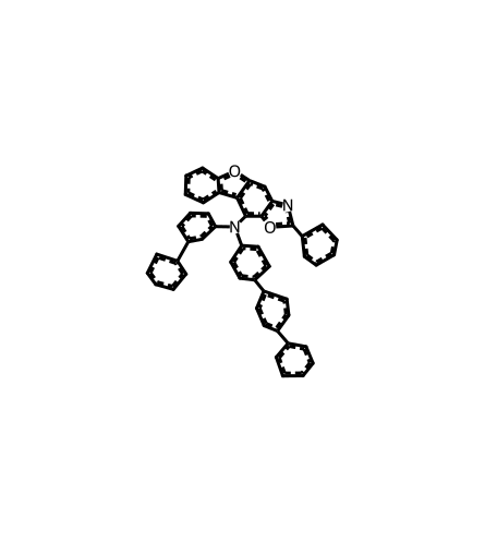 c1ccc(-c2ccc(-c3ccc(N(c4cccc(-c5ccccc5)c4)c4c5oc(-c6ccccc6)nc5cc5oc6ccccc6c45)cc3)cc2)cc1